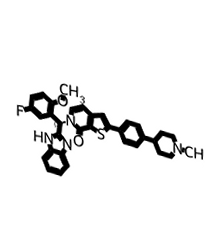 COc1ccc(F)cc1[C@@H](c1nc2ccccc2[nH]1)n1ccc2cc(-c3ccc(C4CCN(C)CC4)cc3)sc2c1=O